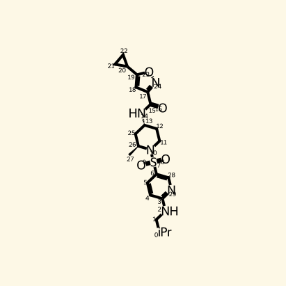 CC(C)CNc1ccc(S(=O)(=O)N2CC[C@@H](NC(=O)c3cc(C4CC4)on3)C[C@@H]2C)cn1